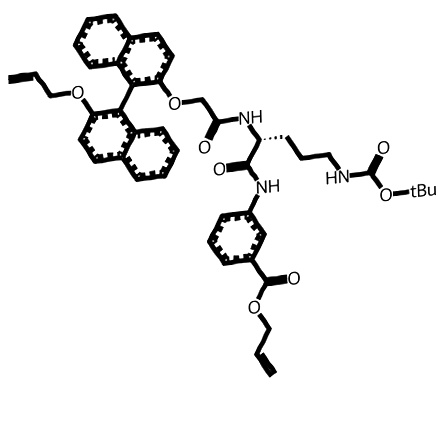 C=CCOC(=O)c1cccc(NC(=O)[C@@H](CCCNC(=O)OC(C)(C)C)NC(=O)COc2ccc3ccccc3c2-c2c(OCC=C)ccc3ccccc23)c1